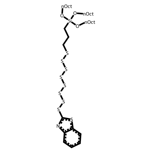 CCCCCCCCO[Si](CCCSSSSSSSSc1nc2ccccc2s1)(OCCCCCCCC)OCCCCCCCC